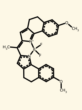 COc1ccc2c(c1)CCC1=CC3=C(C)c4cc5c(n4[B-](F)(F)[N+]3=C12)-c1ccc(OC)cc1CC5